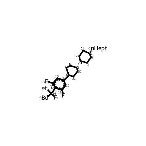 CCCCCCC[C@H]1CC[C@H](C2CCC(c3cc(F)c(C(F)(F)CCCC)c(F)c3)CC2)CC1